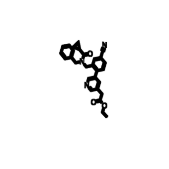 CCOC(=O)Cc1cncc(-c2ccc(C#N)cc2CN(Cc2ccccc2)C(=O)C2CC2)c1